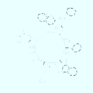 CC(O)C(CO)NC(=O)[C@@H]1CSSC[C@H](NC(=O)[C@@H](Cc2ccccc2)Nc2ccc3ccccc3n2)C(=O)N[C@@H](Cc2ccccc2)C(=O)N[C@H](Cc2c[nH]c3ccccc23)C(=O)N[C@@H](CCCCN)C(=O)N[C@@H]([C@@H](C)O)C(O)N1